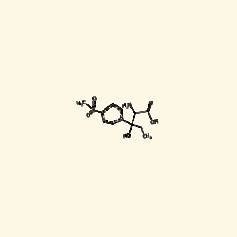 CCC(O)(c1ccc(S(C)(=O)=O)cc1)C(N)C(=O)O